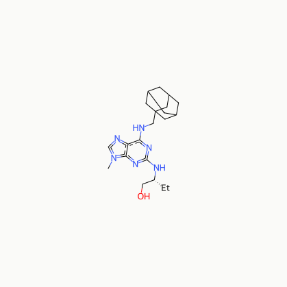 CC[C@H](CO)Nc1nc(NCC23CC4CC(CC(C4)C2)C3)c2ncn(C)c2n1